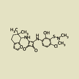 CN(C)Sc1c(Cl)ccc(Nc2c(NC3c4occc4CCC3(C)C)c(=O)c2=O)c1O